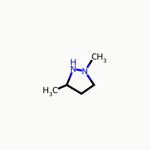 CC1CCN(C)N1